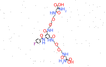 N[C@@H](CC(=O)NCCOCCOCCNC(=O)c1cc(NC(=O)c2ccc(I)cc2)cc(C(=O)NCCOCCOCCNC(=O)C[C@H](N)C(=O)O)c1)C(=O)O